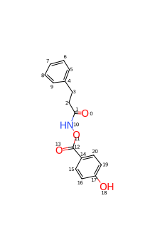 O=C(CCc1ccccc1)NOC(=O)c1ccc(O)cc1